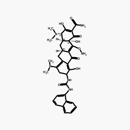 CN(C)C1=C2C[C@H]3C[C@H]4[C@H](N(C)C)C(O)=C(C(N)=O)C(=O)[C@@]4(O)C(ON)=C3C(=O)C2=C(O)C(NC(=O)Nc2cccc3ccccc23)C1